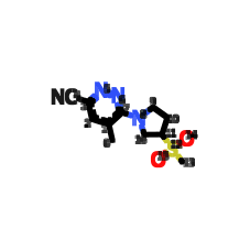 Cc1cc(C#N)nnc1N1CCC(S(C)(=O)=O)C1